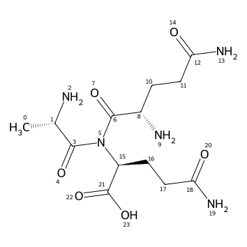 C[C@H](N)C(=O)N(C(=O)[C@@H](N)CCC(N)=O)[C@@H](CCC(N)=O)C(=O)O